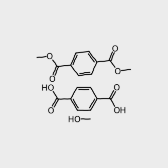 CO.COC(=O)c1ccc(C(=O)OC)cc1.O=C(O)c1ccc(C(=O)O)cc1